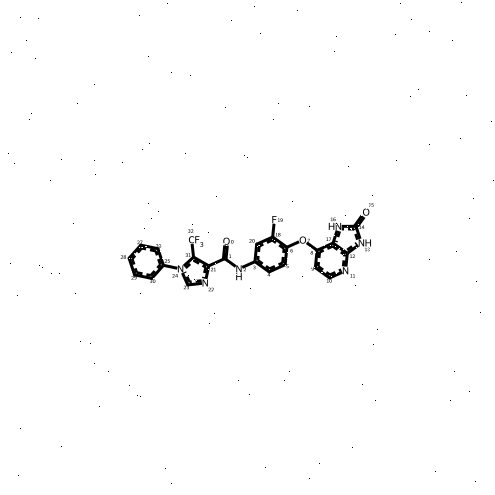 O=C(Nc1ccc(Oc2ccnc3[nH]c(=O)[nH]c23)c(F)c1)c1ncn(-c2ccccc2)c1C(F)(F)F